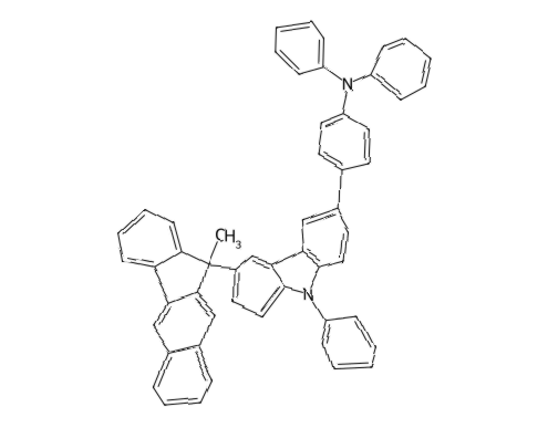 CC1(c2ccc3c(c2)c2cc(-c4ccc(N(c5ccccc5)c5ccccc5)cc4)ccc2n3-c2ccccc2)c2ccccc2-c2cc3ccccc3cc21